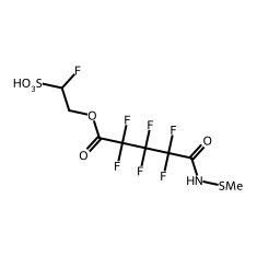 CSNC(=O)C(F)(F)C(F)(F)C(F)(F)C(=O)OCC(F)S(=O)(=O)O